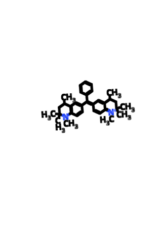 CC1CC(C)(C)N(C)c2ccc(/C(c3ccccc3)=c3\ccc4c(c3)C(C)CC(C)(C)[N+]=4C)cc21